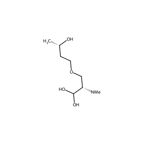 CN[C@@H](COCC[C@H](C)O)C(O)O